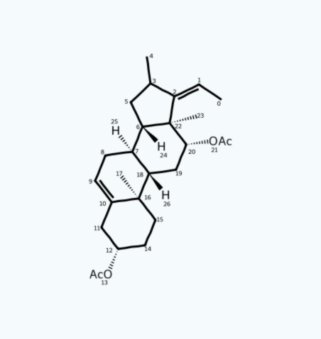 C/C=C1/C(C)C[C@H]2[C@@H]3CC=C4C[C@@H](OC(C)=O)CC[C@]4(C)[C@H]3C[C@@H](OC(C)=O)[C@]12C